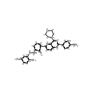 Nc1ccc(-c2nc(N3CCOCC3)c3nc(-c4cccc(NSc5cc(F)ccc5F)c4F)ccc3n2)cn1